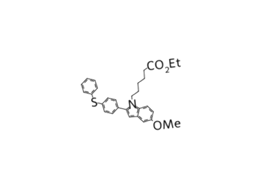 CCOC(=O)CCCCCn1c(-c2ccc(Sc3ccccc3)cc2)cc2cc(OC)ccc21